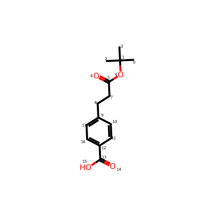 CC(C)(C)OC(=O)CCc1ccc(C(=O)O)cc1